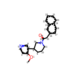 COc1ccncc1C1CCCN(C(=O)Cc2ccc3ccccc3c2)C1